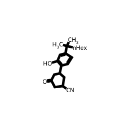 CCCCCCC(C)(C)c1ccc(C2CC(=O)CC(C#N)C2)c(O)c1